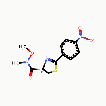 CON(C)C(=O)[C@@H]1CSC(c2ccc([N+](=O)[O-])cc2)=N1